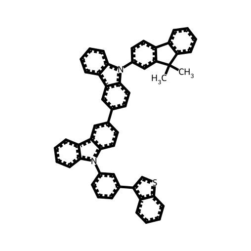 CC1(C)c2ccccc2-c2ccc(-n3c4ccccc4c4cc(-c5ccc6c(c5)c5ccccc5n6-c5cccc(-c6csc7ccccc67)c5)ccc43)cc21